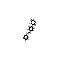 C(=N\c1ccccc1)/c1ccc(C2CCCCC2)cc1